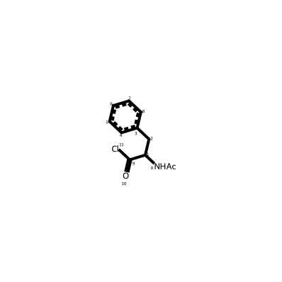 CC(=O)NC(Cc1ccccc1)C(=O)Cl